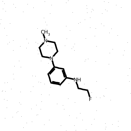 CN1CCN(c2cc[c]c(NCCF)c2)CC1